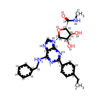 CCc1ccc(-c2nc(NCc3ccccc3)c3ncn([C@@H]4O[C@H](C(=O)NC)[C@@H](O)[C@H]4O)c3n2)cc1